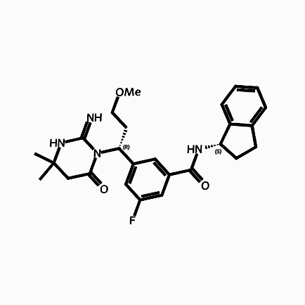 COCC[C@H](c1cc(F)cc(C(=O)N[C@H]2CCc3ccccc32)c1)N1C(=N)NC(C)(C)CC1=O